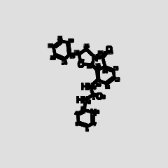 O=C(Nc1ccccn1)Nc1cccc2c1C1OC(c3ccccc3)CN1C2=O